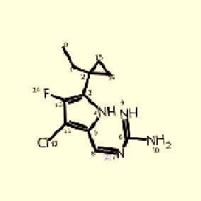 CCC1(c2[nH]c(/C=N\C(=N)N)c(Cl)c2F)CC1